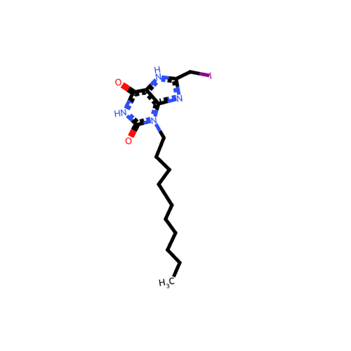 CCCCCCCCCCn1c(=O)[nH]c(=O)c2[nH]c(CI)nc21